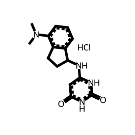 CN(C)c1cccc2c1CCC2Nc1cc(=O)[nH]c(=O)[nH]1.Cl